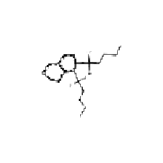 CCCCC(Br)(Br)c1ccc2ccccc2c1C(Br)(Br)CCCC